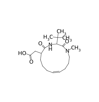 CN1CCCC=CCCCC(CC(=O)O)C(=O)NC(C(C)(C)C)C1=O